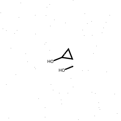 CO.OC1CC1